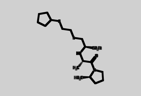 CCOC(=O)[C@H](CSCCSC1CCCC1)N[C@@H](C)C(=O)N1CCC[C@H]1C(=O)O